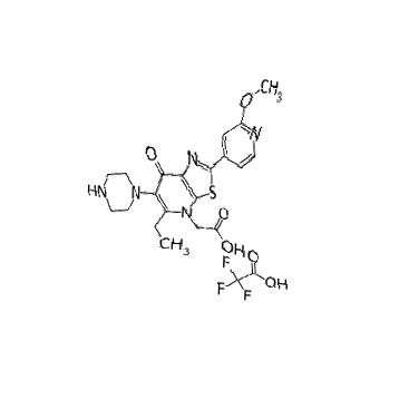 CCc1c(N2CCNCC2)c(=O)c2nc(-c3ccnc(OC)c3)sc2n1CC(=O)O.O=C(O)C(F)(F)F